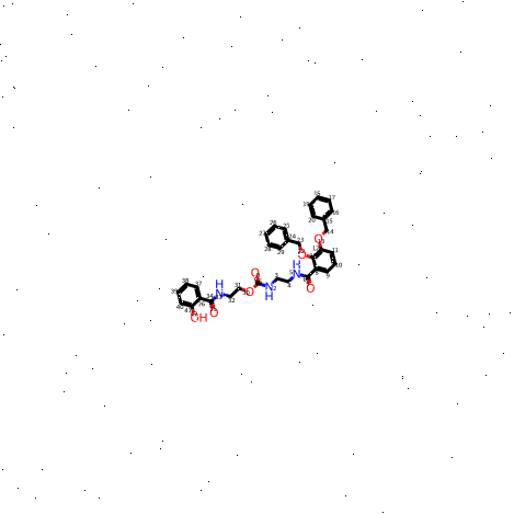 O=C(NCCNC(=O)c1cccc(OCc2ccccc2)c1OCc1ccccc1)OCCNC(=O)c1ccccc1O